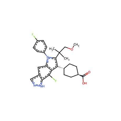 COCC(C)(C)c1c([C@H]2CC[C@H](C(=O)O)CC2)c2c(F)c3[nH]ncc3cc2n1-c1ccc(F)cc1